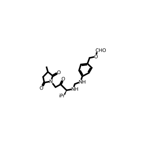 CC1CC(=O)N(CC(=O)[C@@H](NCNc2ccc(COC=O)cc2)C(C)C)C1=O